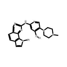 CCOc1cc(Nc2ncc3ccc4ccn(C(C)C)c4c3n2)ncc1N1CCN(C)CC1